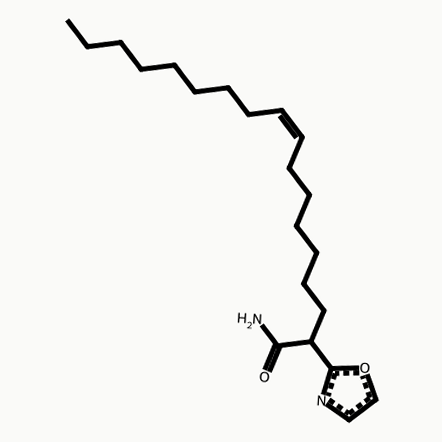 CCCCCCCC/C=C\CCCCCCC(C(N)=O)c1ncco1